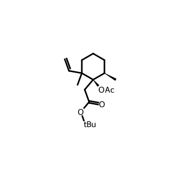 C=CC1(C)CCC[C@@H](C)[C@@]1(CC(=O)OC(C)(C)C)OC(C)=O